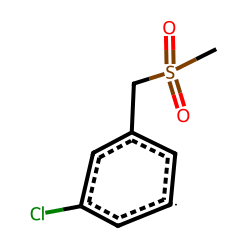 CS(=O)(=O)Cc1c[c]cc(Cl)c1